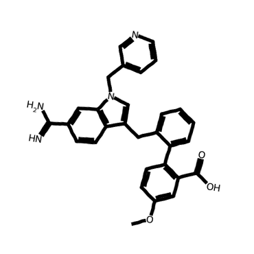 COc1ccc(-c2ccccc2Cc2cn(Cc3cccnc3)c3cc(C(=N)N)ccc23)c(C(=O)O)c1